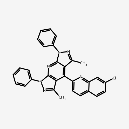 Cc1nn(-c2ccccc2)c2nc3c(c(C)nn3-c3ccccc3)c(-c3ccc4ccc(Cl)cc4n3)c12